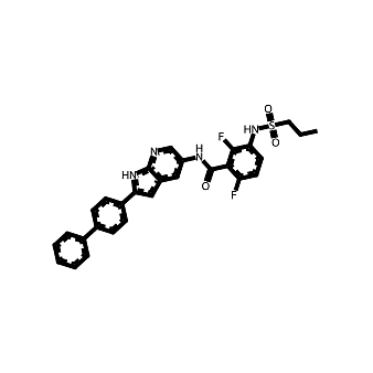 CCCS(=O)(=O)Nc1ccc(F)c(C(=O)Nc2cnc3[nH]c(-c4ccc(-c5ccccc5)cc4)cc3c2)c1F